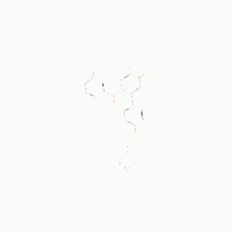 COCCCOc1cc2c(cc1Cl)-c1cc(=O)c(C(=O)O)cn1C(c1cc(C)cc(F)c1)O2